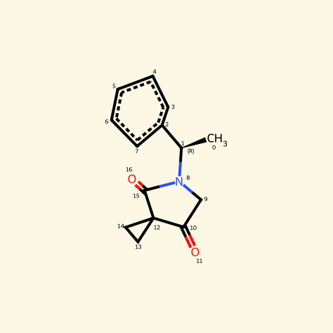 C[C@H](c1ccccc1)N1CC(=O)C2(CC2)C1=O